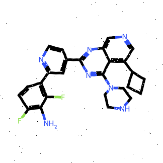 Nc1c(F)ccc(-c2cc(-c3nc(N4CCNCC4)c4c(C5CCC5)cncc4n3)ccn2)c1F